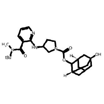 CN(C(=O)c1cccnc1NC1CCN(C(=O)OC2[C@@H]3CC4C[C@H]2CC(O)(C4)C3)C1)C(C)(C)C